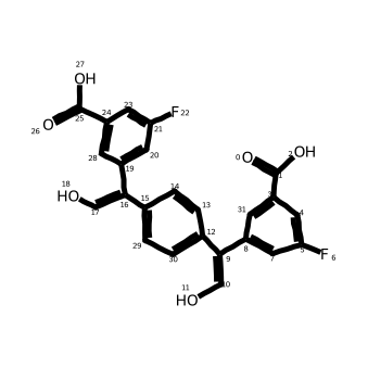 O=C(O)c1cc(F)cc(C(=CO)c2ccc(C(=CO)c3cc(F)cc(C(=O)O)c3)cc2)c1